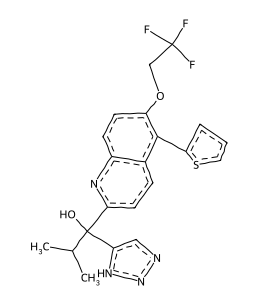 CC(C)C(O)(c1ccc2c(-c3cccs3)c(OCC(F)(F)F)ccc2n1)c1cnn[nH]1